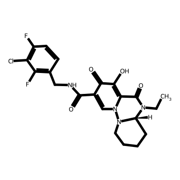 CCN1C(=O)c2c(O)c(=O)c(C(=O)NCc3ccc(F)c(Cl)c3F)cn2N2CCCC[C@@H]12